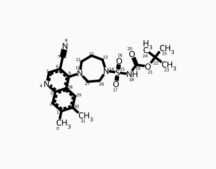 Cc1cc2ncc(C#N)c(N3CCCN(S(=O)(=O)NC(=O)OC(C)(C)C)CC3)c2cc1C